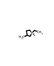 CCP1(=S)CCC(C)C1